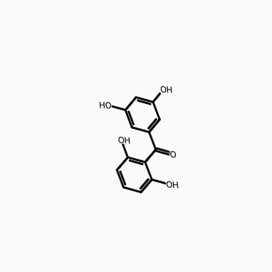 O=C(c1cc(O)cc(O)c1)c1c(O)cccc1O